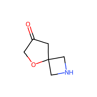 O=C1COC2(CNC2)C1